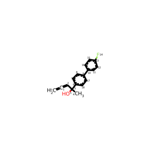 C=C=CC(C)(O)c1ccc(-c2ccc(F)cc2)cc1